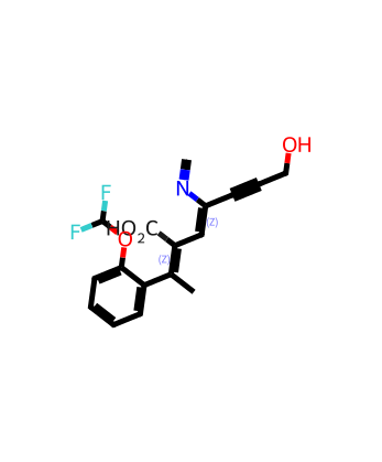 C=N/C(C#CCO)=C\C(C(=O)O)=C(/C)c1ccccc1OC(F)F